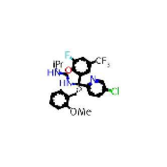 COc1ccccc1C[C@](NC(=O)NC(C)C)(c1cc(F)cc(C(F)(F)F)c1)c1ccc(Cl)cn1